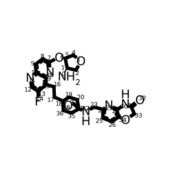 N[C@H]1COC[C@@H]1Oc1ccc2ncc(F)c(CCC34CCC(NCc5ccc6c(n5)NC(=O)CO6)(CC3)CO4)c2n1